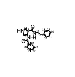 O=C(Nc1c[nH]nc1C(=O)NCCc1ccccc1)c1cnccn1